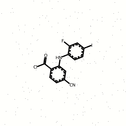 N#Cc1ccc(C(=O)Cl)c(Nc2ccc(I)cc2F)c1